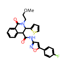 COCCN1C(=O)c2ccccc2C(C(=O)Nc2cc(-c3ccc(F)cc3)on2)C1c1cccs1